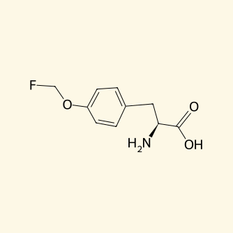 N[C@@H](Cc1ccc(OCF)cc1)C(=O)O